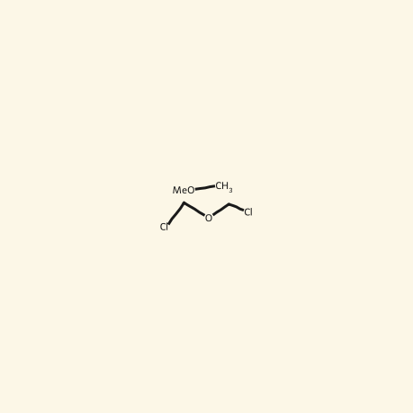 COC.ClCOCCl